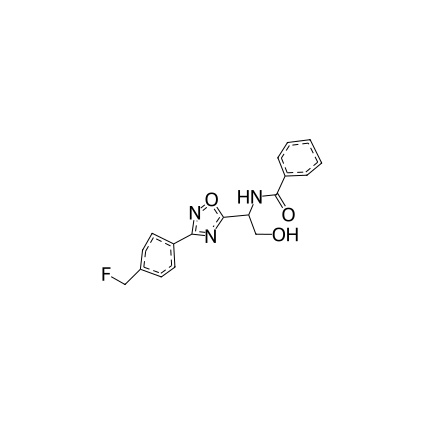 O=C(NC(CO)c1nc(-c2ccc(CF)cc2)no1)c1ccccc1